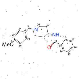 COc1ccc(CN2CCC(NC(=O)c3ccccc3)CC2)cc1